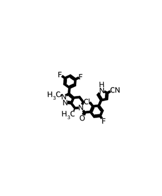 C[C@H]1c2nn(C)c(-c3cc(F)cc(F)c3)c2CCN1C(=O)c1cc(F)cc(-c2c[nH]c(C#N)c2)c1Cl